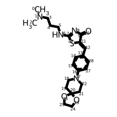 CN(C)CCCNC1=NC(=O)/C(=C/c2ccc(N3CCC4(CC3)OCCO4)cc2)S1